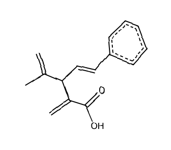 C=C(C)C(C=Cc1ccccc1)C(=C)C(=O)O